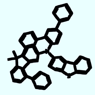 CC1(C)c2ccc(N(c3ccc4sc5ccccc5c4c3)c3ccc(-c4ccccc4)cc3-c3ccccc3)cc2-c2c(-c3ccccc3)cccc21